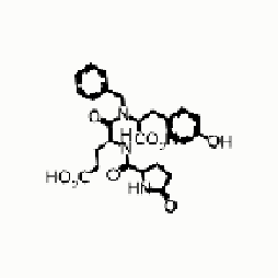 O=C(O)CC[C@H](NC(=O)C1CCC(=O)N1)C(=O)N(Cc1ccccc1)[C@@H](Cc1ccc(O)cc1)C(=O)O